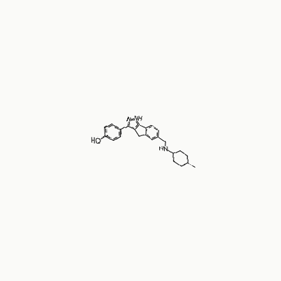 CC1CCC(NCc2ccc3c(c2)Cc2c(-c4ccc(O)cc4)n[nH]c2-3)CC1